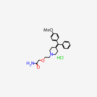 COc1ccc(C(=C2CCN(CCOCC(N)=O)CC2)c2ccccc2)cc1.Cl